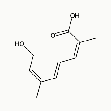 CC(C=CC=C(C)C(=O)O)=CCO